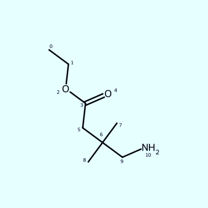 CCOC(=O)CC(C)(C)CN